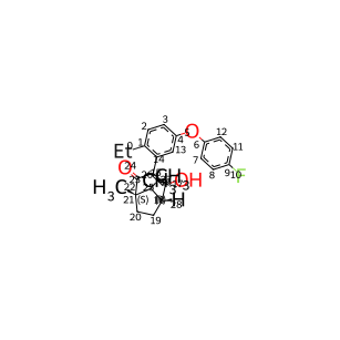 CCc1ccc(Oc2ccc(F)cc2)cc1C1=C(O)[C@@H]2CC[C@](C)(C1=O)C2(C)C